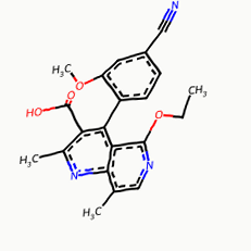 CCOc1ncc(C)c2nc(C)c(C(=O)O)c(-c3ccc(C#N)cc3OC)c12